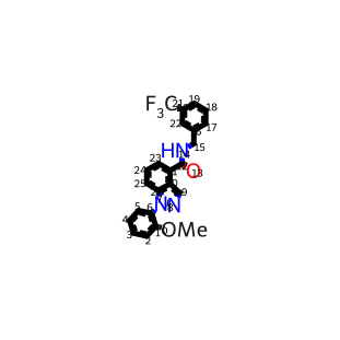 COc1ccccc1-n1ncc2c(C(=O)NCc3cccc(C(F)(F)F)c3)cccc21